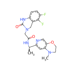 C[C@@H](NC(=O)CN1Cc2c(ccc(F)c2F)NC1=O)c1cc2c(cn1)OCCN2C